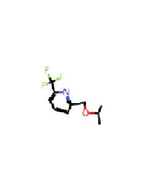 CC(C)OCc1cccc(C(F)(F)F)n1